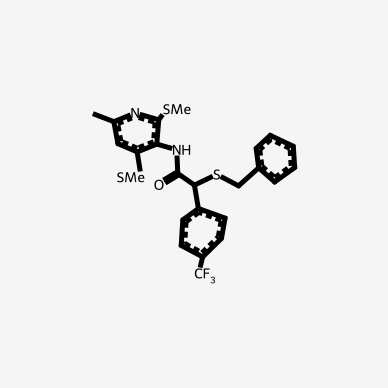 CSc1cc(C)nc(SC)c1NC(=O)C(SCc1ccccc1)c1ccc(C(F)(F)F)cc1